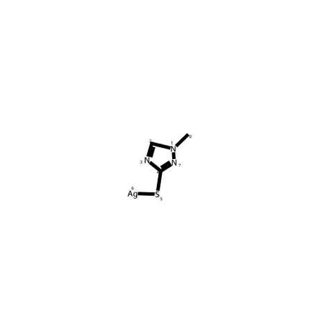 Cn1cnc([S][Ag])n1